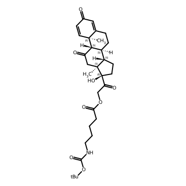 CC(C)(C)OC(=O)NCCCCC(=O)OCC(=O)[C@@]1(O)CC[C@H]2[C@@H]3CCC4=CC(=O)C=C[C@]4(C)[C@H]3C(=O)C[C@@]21C